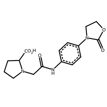 O=C(CN1CCCC1C(=O)O)Nc1ccc(N2CCOC2=O)cc1